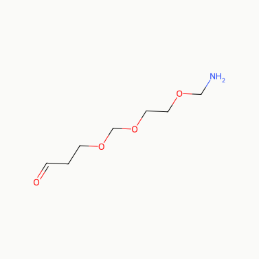 NCOCCOCOCCC=O